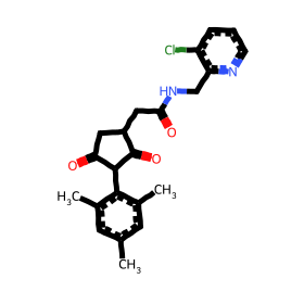 Cc1cc(C)c(C2C(=O)CC(CC(=O)NCc3ncccc3Cl)C2=O)c(C)c1